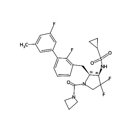 Cc1cc(F)cc(-c2cccc(C[C@H]3[C@@H](NS(=O)(=O)C4CC4)C(F)(F)CN3C(=O)N3CCC3)c2F)c1